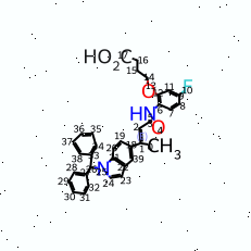 C/C(=C\C(=O)Nc1ccc(F)cc1OCCCC(=O)O)c1ccc2c(ccn2C(c2ccccc2)c2ccccc2)c1